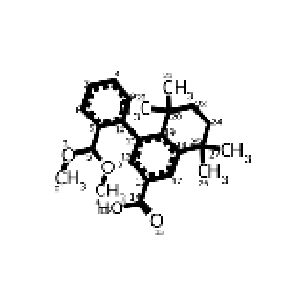 COC(OC)c1ccccc1-c1cc(C(=O)O)cc2c1C(C)(C)CCC2(C)C